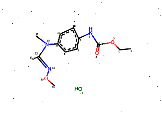 CCOC(=O)Nc1ccc(N(C)C(C)=NOC)cc1.Cl